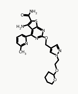 Cc1cccc(-c2nc(OCc3cnn(CCOC4CCCCO4)c3)nc3sc(C(N)=O)c(N)c23)n1